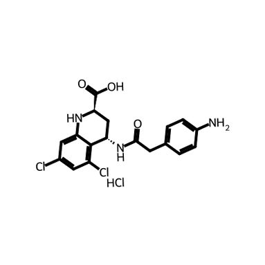 Cl.Nc1ccc(CC(=O)N[C@H]2C[C@H](C(=O)O)Nc3cc(Cl)cc(Cl)c32)cc1